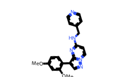 COc1ccc(-c2cnn3ccc(NCc4ccncc4)nc23)c(OC)c1